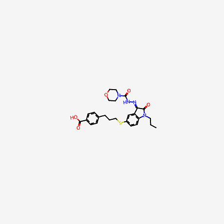 CCCN1C(=O)/C(=N/NC(=O)N2CCOCC2)c2cc(SCCCc3ccc(C(=O)O)cc3)ccc21